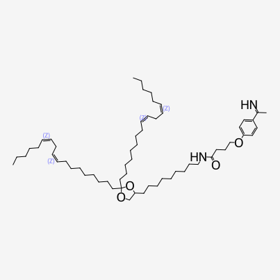 CCCCC/C=C\C/C=C\CCCCCCCCC1(CCCCCCCC/C=C\C/C=C\CCCCC)OCC(CCCCCCCCCNC(=O)CCCOc2ccc(C(C)=N)cc2)O1